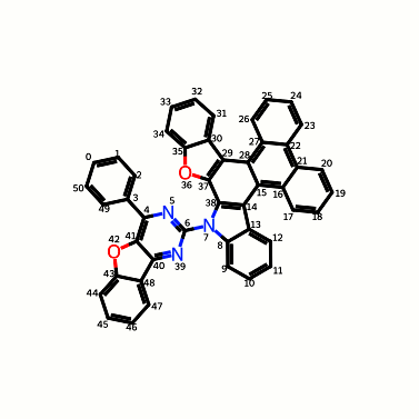 c1ccc(-c2nc(-n3c4ccccc4c4c5c6ccccc6c6ccccc6c5c5c6ccccc6oc5c43)nc3c2oc2ccccc23)cc1